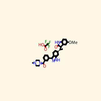 COc1ccc2c(c1)[C@]1(C[C@H]1c1ccc3c(-c4cccc(C(=O)N5CCN(C)CC5)c4)n[nH]c3c1)C(=O)N2.O=C(O)C(F)(F)F